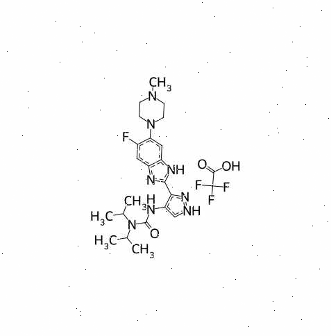 CC(C)N(C(=O)Nc1c[nH]nc1-c1nc2cc(F)c(N3CCN(C)CC3)cc2[nH]1)C(C)C.O=C(O)C(F)(F)F